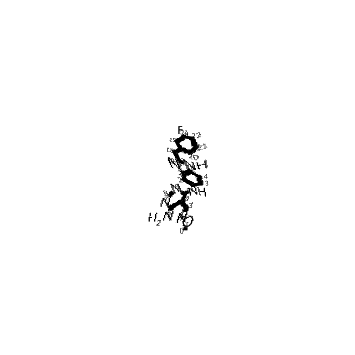 CON=Cc1c(N)ncnc1Nc1ccc2[nH]c(Cc3cccc(F)c3)nc2c1